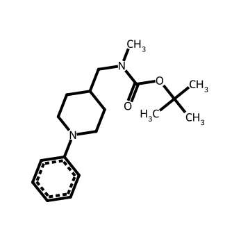 CN(CC1CCN(c2ccccc2)CC1)C(=O)OC(C)(C)C